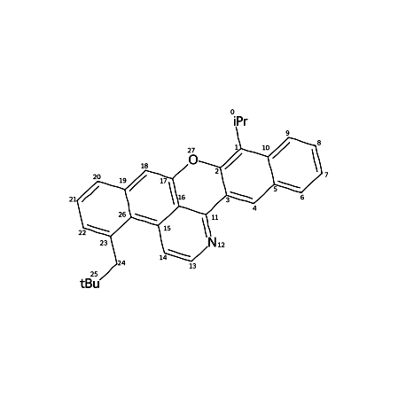 CC(C)c1c2c(cc3ccccc13)-c1nccc3c1c(cc1cccc(CC(C)(C)C)c13)O2